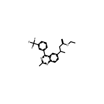 C=C(CC(C)c1ccc2nc(C)nc(-c3cccc(C(F)(F)F)c3)c2c1)OCC